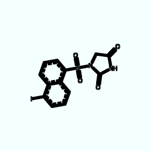 O=C1CN(S(=O)(=O)c2cccc3c(I)cccc23)C(=O)N1